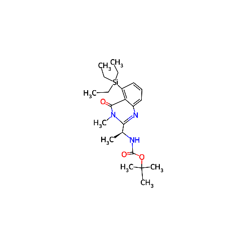 CC[Si](CC)(CC)c1cccc2nc([C@H](C)NC(=O)OC(C)(C)C)n(C)c(=O)c12